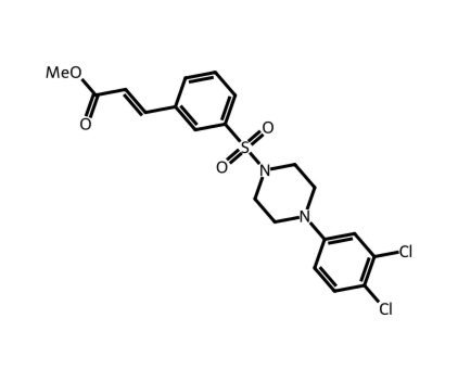 COC(=O)C=Cc1cccc(S(=O)(=O)N2CCN(c3ccc(Cl)c(Cl)c3)CC2)c1